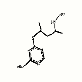 CC(CC(C)Sc1ncnc(C(C)(C)C)n1)NC(C)(C)C